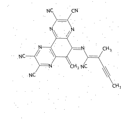 C=C1/C(=N\C(C#N)=C(/C)C#CC)c2nc(C#N)c(C#N)nc2-c2nc(C#N)c(C#N)nc21